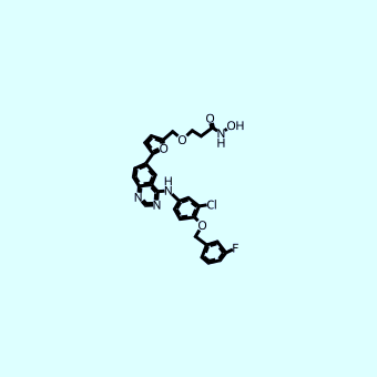 O=C(CCOCc1ccc(-c2ccc3ncnc(Nc4ccc(OCc5cccc(F)c5)c(Cl)c4)c3c2)o1)NO